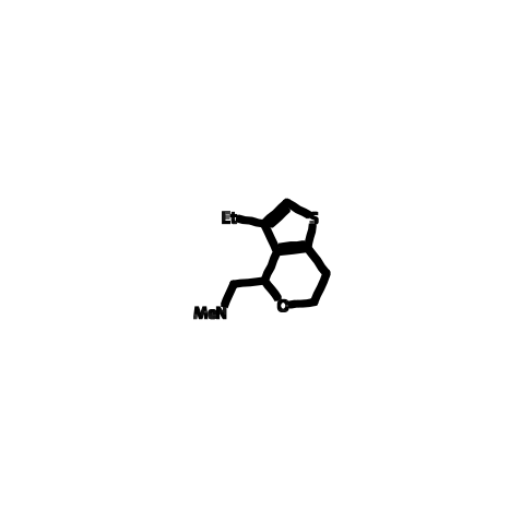 CCc1csc2c1C(CNC)OCC2